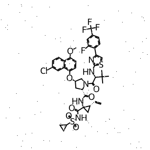 C=C[C@@H]1C[C@]1(NC(=O)[C@@H]1C[C@@H](Oc2ccc(OC)c3ccc(Cl)cc23)CN1C(=O)[C@@H](Nc1nc(-c2ccc(C(F)(F)F)cc2F)cs1)C(C)(C)C)C(=O)NS(=O)(=O)C1CC1